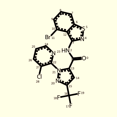 O=C(Nc1nsc2cccc(Br)c12)c1cc(C(F)(F)F)nn1-c1ncccc1Cl